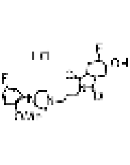 COc1ccc(F)cc1N1CCN(CCCN2C(=O)C3CC(O)C(F)CC3C2=O)CC1.Cl